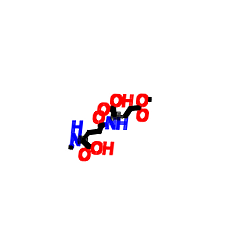 CN[C@@H](CCC(=O)N[C@@H](CCC(=O)OC)C(=O)O)C(=O)O